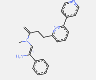 C=C(CCc1cccc(-c2ccncc2)n1)N(C)/C=C(\N)c1ccccc1